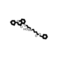 O=C(CCCNCC(O)COc1cccc2oc(-c3ccccc3)cc(=O)c12)OCc1ccccc1